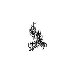 CCCC(=O)N(C)[C@H](SCC[C@@H](CO)CCCN(CC)CC)C(=O)N(C)[C@@H](CC(C)(C)O)C(=O)NC(=O)N(C)C(=O)NC(=O)NC(=O)N(C)[C@@H](CC(C)C)C(=O)NC